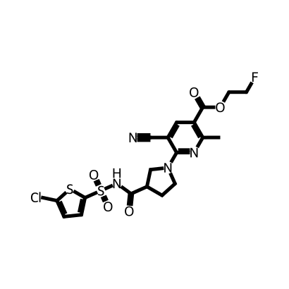 Cc1nc(N2CCC(C(=O)NS(=O)(=O)c3ccc(Cl)s3)C2)c(C#N)cc1C(=O)OCCF